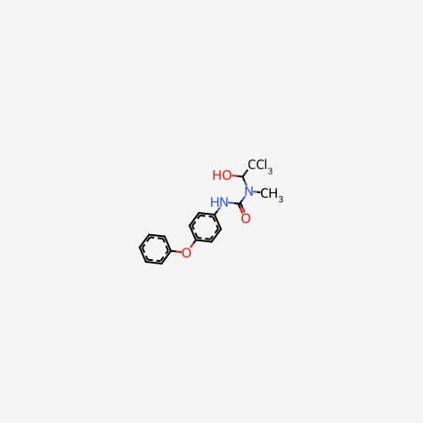 CN(C(=O)Nc1ccc(Oc2ccccc2)cc1)C(O)C(Cl)(Cl)Cl